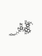 CCCCCCCCCCCCCCOc1c(F)cccc1CC(=O)Nc1ccccc1C[n+]1ccc(C)c(C)c1.[Br-]